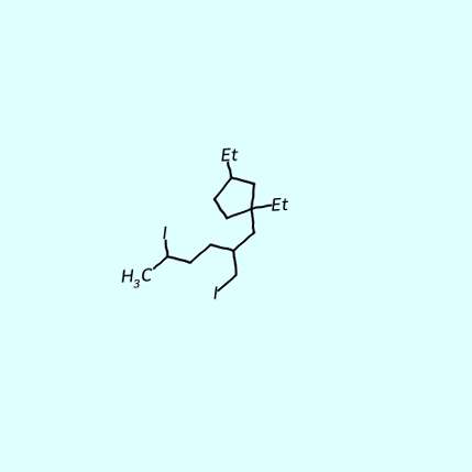 CCC1CCC(CC)(CC(CI)CCC(C)I)C1